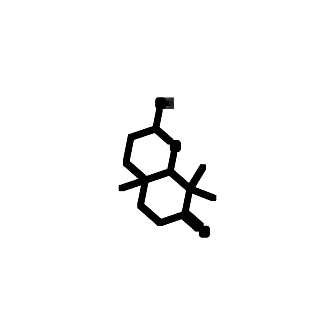 CC12CCC(=O)C(C)(C)C1OC(O)CC2